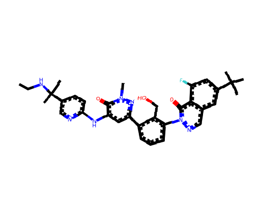 CCNC(C)(C)c1ccc(Nc2cc(-c3cccc(-n4ncc5cc(C(C)(C)C)cc(F)c5c4=O)c3CO)nn(C)c2=O)nc1